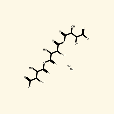 O=C([O-])C(O)C(O)C(=O)OC(=O)C(O)C(O)C(=O)OC(=O)C(O)C(O)C(=O)[O-].[Na+].[Na+]